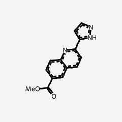 COC(=O)c1ccc2nc(-c3ccn[nH]3)ccc2c1